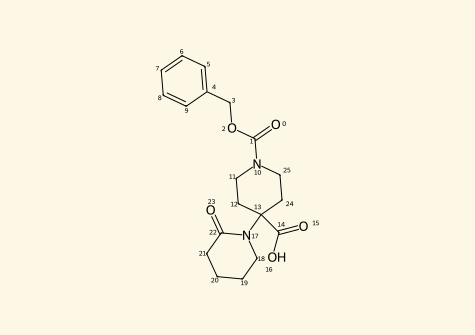 O=C(OCc1ccccc1)N1CCC(C(=O)O)(N2CCCCC2=O)CC1